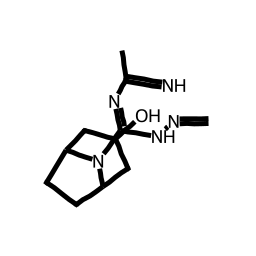 C=NN/C(=N\C(C)=N)N1C2CCC1CC(O)C2